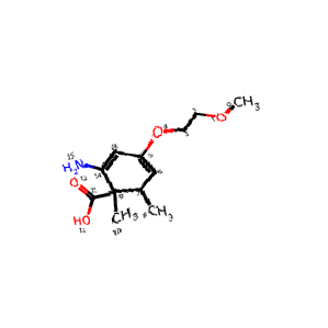 COCCOC1=CC(C)C(C)(C(=O)O)C(N)=C1